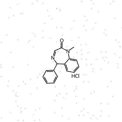 CN1C(=O)C=NC(c2ccccc2)c2ccccc21.Cl